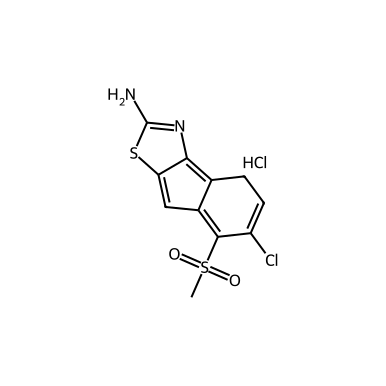 CS(=O)(=O)C1=C2C=c3sc(N)nc3=C2CC=C1Cl.Cl